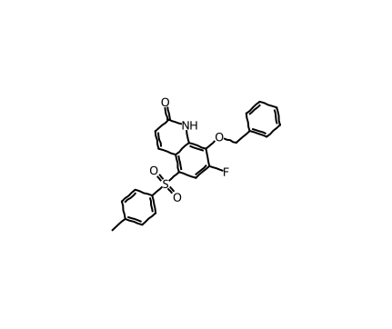 Cc1ccc(S(=O)(=O)c2cc(F)c(OCc3ccccc3)c3[nH]c(=O)ccc23)cc1